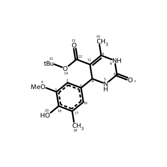 COc1cc(C2NC(=O)NC(C)=C2C(=O)OC(C)(C)C)cc(C)c1O